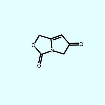 O=C1C=C2COC(=O)N2C1